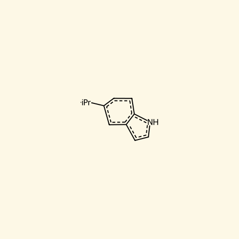 C[C](C)c1ccc2[nH]ccc2c1